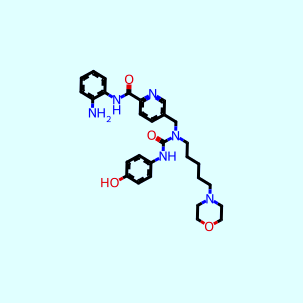 Nc1ccccc1NC(=O)c1ccc(CN(CCCCCN2CCOCC2)C(=O)Nc2ccc(O)cc2)cn1